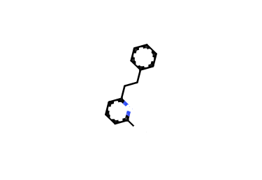 Cc1cccc(CCc2ccccc2)n1